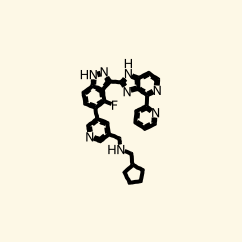 Fc1c(-c2cncc(CNCC3CCCC3)c2)ccc2[nH]nc(-c3nc4c(-c5ccccn5)nccc4[nH]3)c12